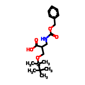 CC(C)(C)[Si](C)(C)OCC(CNC(=O)OCc1ccccc1)C(=O)O